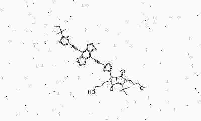 CCC(C)(C)c1ccc(C#Cc2c3ccsc3c(C#Cc3ccc(C4=C5C(=O)N(CCCOC)C(C(C)(C)C)=C5C(=O)N4CCCO)s3)c3ccsc23)s1